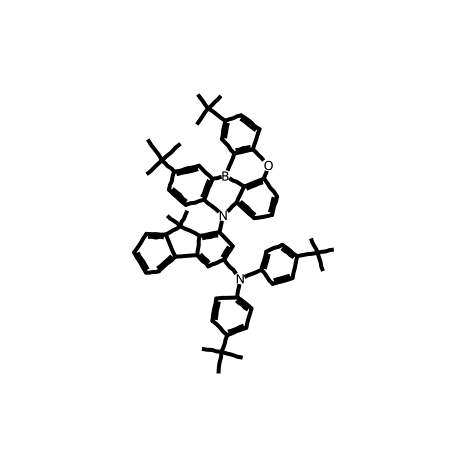 CC(C)(C)c1ccc(N(c2ccc(C(C)(C)C)cc2)c2cc3c(c(N4c5ccc(C(C)(C)C)cc5B5c6cc(C(C)(C)C)ccc6Oc6cccc4c65)c2)C(C)(C)c2ccccc2-3)cc1